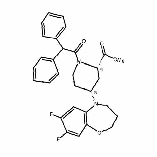 COC(=O)[C@@H]1C[C@H](N2CCCOc3cc(F)c(F)cc32)CCN1C(=O)C(c1ccccc1)c1ccccc1